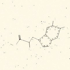 COC(=O)C(N)Cc1c[nH]c2cc(F)c(Cl)cc12